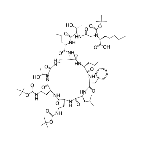 CCCCC[C@@H](C(=O)O)N(CC(=O)N[C@H](C(=O)N[C@@H](CCC)C(=O)N[C@H]1CCNC(=O)[C@H]([C@@H](C)O)NC(=O)[C@H](CCNC(=O)OC(C)(C)C)NC(=O)[C@H](CCNC(=O)OC(C)(C)C)NC(=O)[C@H](CC(C)C)NC(=O)[C@@H](Cc2ccccc2)NC(=O)[C@H](CCC)NC1=O)[C@@H](C)O)C(=O)OC(C)(C)C